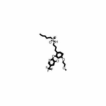 CCCCCS(=O)(=O)NCCCc1ccc(OCCOC)cc1Oc1ncc(C(F)(F)F)cc1Cl